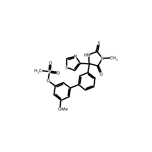 COc1cc(OS(C)(=O)=O)cc(-c2cccc(C3(c4cscn4)NC(=S)N(C)C3=O)c2)c1